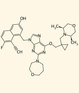 C#Cc1c(F)ccc2cc(O)cc(Cn3cnc4c(OCC5(CN6[C@H](C)COC[C@@H]6C)CC5)nc(N5CCCOCC5)nc43)c12